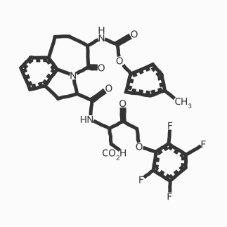 Cc1ccc(OC(=O)NC2CCc3cccc4c3N(C2=O)C(C(=O)NC(CC(=O)O)C(=O)COc2c(F)c(F)cc(F)c2F)C4)cc1